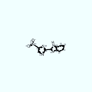 O=[N+]([O-])c1cnc(-c2nc3ccccc3[nH]2)s1